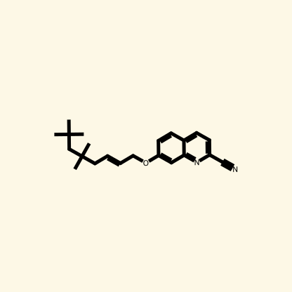 CC(C)(C)CC(C)(C)CC=CCOc1ccc2ccc(C#N)nc2c1